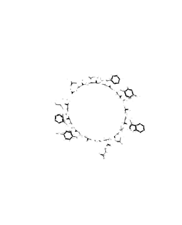 CCCC[C@H]1C(=O)N(C)CC(=O)N[C@@H](CC(=O)O)C(=O)N[C@@H](C(C)C)C(=O)N(C)[C@@H](Cc2ccccc2)C(=O)N[C@@H](Cc2ccc(O)cc2)C(=O)N(C)CC(=O)N[C@@H](Cc2c[nH]c3ccccc23)C(=O)NN[C@@H](CC(C)C)C(=O)N[C@H](C(=O)NCC(N)=O)CSCC(=O)N[C@@H](Cc2ccc(O)cc2)C(=O)N(C)[C@@H](Cc2ccccc2)C(=O)N1C